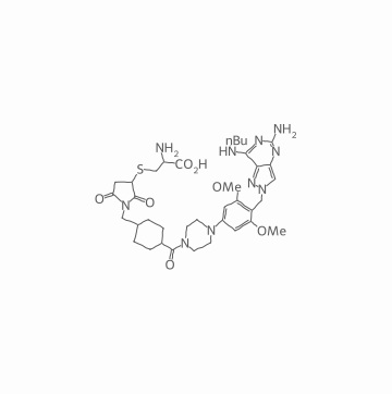 CCCCNc1nc(N)nc2cn(Cc3c(OC)cc(N4CCN(C(=O)C5CCC(CN6C(=O)CC(SCC(N)C(=O)O)C6=O)CC5)CC4)cc3OC)nc12